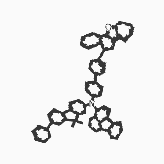 CC1(C)c2cc(-c3ccccc3)ccc2-c2ccc(N(c3ccc(-c4ccc(-c5cc6c7ccccc7oc6c6ccccc56)cc4)cc3)c3ccc4c5c(cccc35)-c3ccccc3-4)cc21